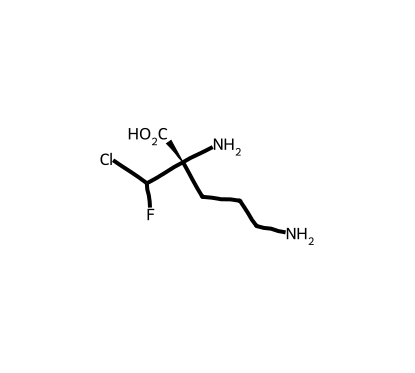 NCCC[C@](N)(C(=O)O)C(F)Cl